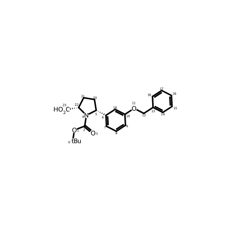 CC(C)(C)OC(=O)N1[C@@H](c2cccc(OCc3ccccc3)c2)CC[C@H]1C(=O)O